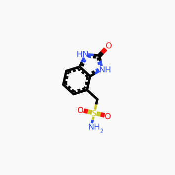 NS(=O)(=O)Cc1cccc2[nH]c(=O)[nH]c12